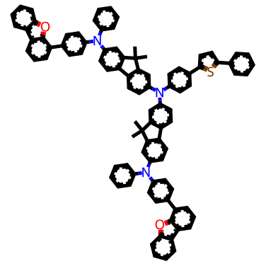 CC1(C)c2cc(N(c3ccccc3)c3ccc(-c4cccc5c4oc4ccccc45)cc3)ccc2-c2ccc(N(c3ccc(-c4ccc(-c5ccccc5)s4)cc3)c3ccc4c(c3)C(C)(C)c3cc(N(c5ccccc5)c5ccc(-c6cccc7c6oc6ccccc67)cc5)ccc3-4)cc21